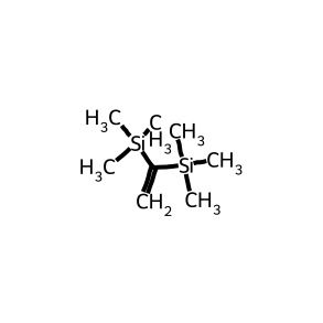 C=C([Si](C)(C)C)[Si](C)(C)C